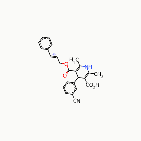 CC1=C(C(=O)O)C(c2cccc(C#N)c2)C(C(=O)OC/C=C/c2ccccc2)=C(C)N1